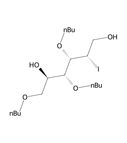 CCCCOC[C@@H](O)[C@@H](OCCCC)[C@H](OCCCC)[C@@H](I)CO